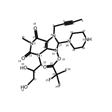 CC#CCN1c2c(n(CC(O)CO)c(=O)n(C)c2=O)N(OC(=O)C(F)(F)F)C1N1CCNCC1